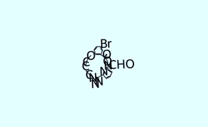 O=CN1OC(=O)c2cc(Br)ccc2OCCCCCn2cnnc2-c2cccc1n2